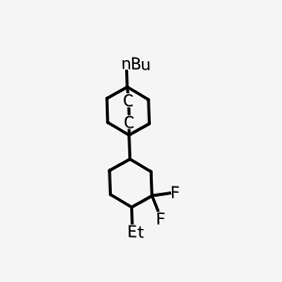 CCCCC12CCC(C3CCC(CC)C(F)(F)C3)(CC1)CC2